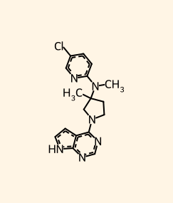 CN(c1ccc(Cl)cn1)C1(C)CCN(c2ncnc3[nH]ccc23)C1